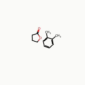 Cc1ccccc1C.O=C1CCCO1